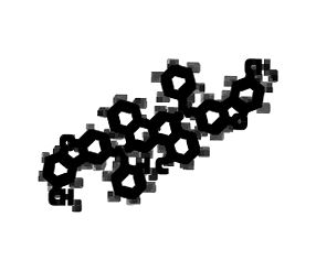 Cc1ccc2oc3ccc(N(C4=Cc5c(cc(N(c6ccccc6)c6ccc7oc8ccc(C)cc8c7c6)c6c5C(C)CC=C6)C5C=CC=CC45)c4ccccc4)cc3c2c1